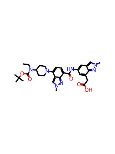 CCN(C(=O)OC(C)(C)C)C1CCN(c2ccc(C(=O)Nc3cc(CC(=O)O)c4nn(C)cc4c3)c3nn(C)cc23)CC1